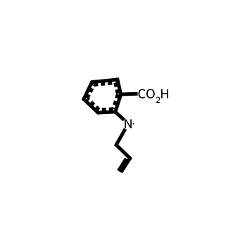 C=CC[N]c1ccccc1C(=O)O